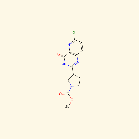 CC(C)(C)OC(=O)N1CCC(c2nc3ccc(Cl)nc3c(=O)[nH]2)C1